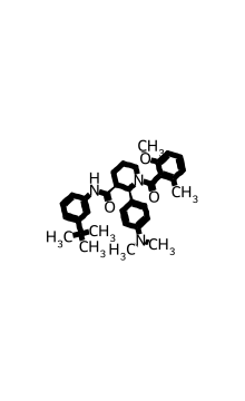 COc1cccc(C)c1C(=O)N1CCC[C@H](C(=O)Nc2cccc(C(C)(C)C)c2)[C@@H]1c1ccc(N(C)C)cc1